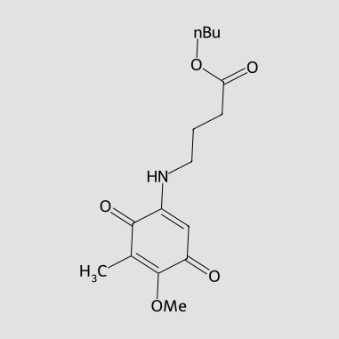 CCCCOC(=O)CCCNC1=CC(=O)C(OC)=C(C)C1=O